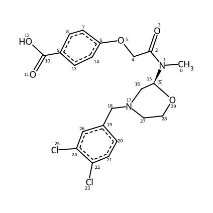 CN(C(=O)COc1ccc(C(=O)O)cc1)[C@@H]1CN(Cc2ccc(Cl)c(Cl)c2)CCO1